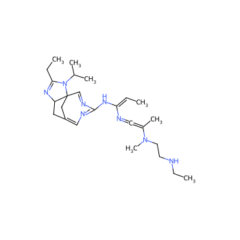 C/C=C(\N=C=C(C)N(C)CCNCC)NC1=N\C=C2\CC3N=C(CC)N(C(C)C)C3(\C=N\1)C2